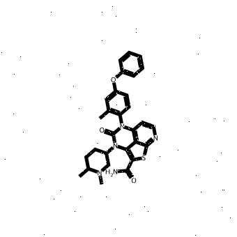 Cc1cc(Oc2ccccc2)ccc1N1C(=O)N(C2CCC(C)N(C)C2)c2c(C(N)=O)sc3nccc1c23